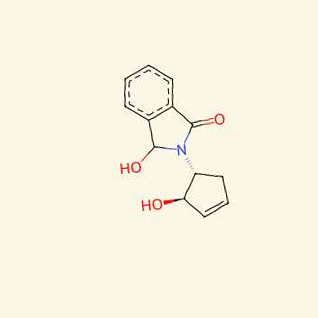 O=C1c2ccccc2C(O)N1[C@@H]1CC=C[C@H]1O